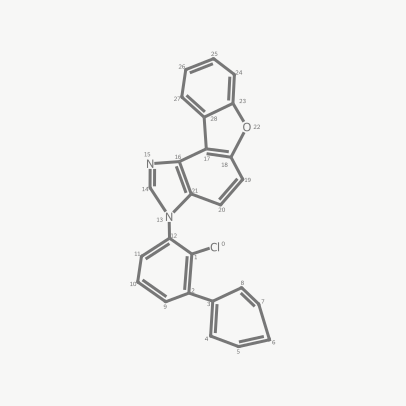 Clc1c(-c2ccccc2)cccc1-n1cnc2c3c(ccc21)oc1ccccc13